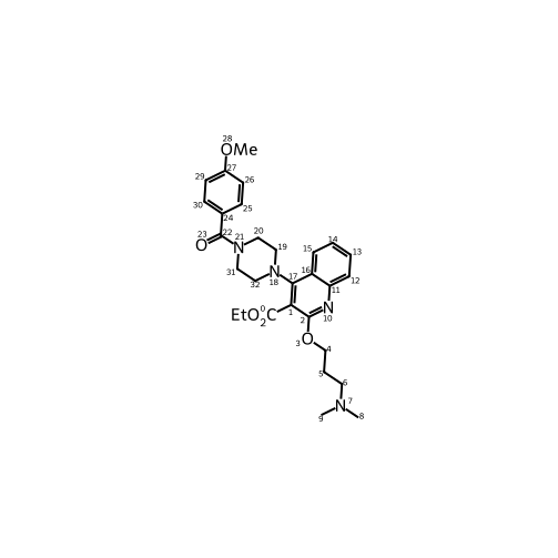 CCOC(=O)c1c(OCCCN(C)C)nc2ccccc2c1N1CCN(C(=O)c2ccc(OC)cc2)CC1